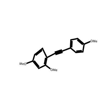 COc1ccc(C#Cc2ccc(OC)cc2OC)cc1